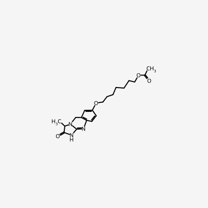 CC(=O)OCCCCCCCOc1ccc2c(c1)CN1C(=N2)NC(=O)C1C